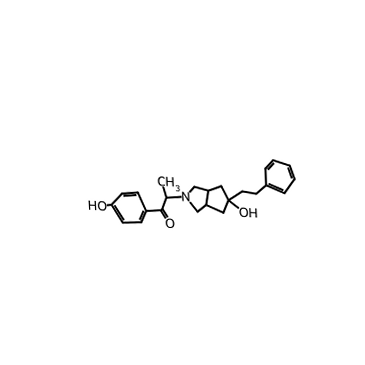 CC(C(=O)c1ccc(O)cc1)N1CC2CC(O)(CCc3ccccc3)CC2C1